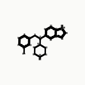 [CH2]c1cccc(CN(c2ccc3[nH]ccc3c2)C2CCNCC2)c1